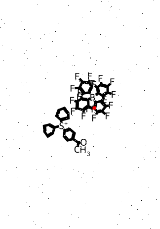 CC(=O)c1ccc([S+](c2ccccc2)c2ccccc2)cc1.Fc1c(F)c(F)c([B-](c2c(F)c(F)c(F)c(F)c2F)(c2c(F)c(F)c(F)c(F)c2F)c2c(F)c(F)c(F)c(F)c2F)c(F)c1F